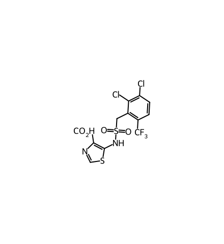 O=C(O)c1ncsc1NS(=O)(=O)Cc1c(C(F)(F)F)ccc(Cl)c1Cl